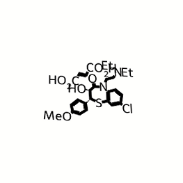 CCN(CC)CCN1C(=O)[C@@H](O)[C@@H](c2ccc(OC)cc2)Sc2cc(Cl)ccc21.O=C(O)/C=C/C(=O)O